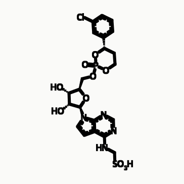 O=P1(OC[C@H]2O[C@@H](n3ccc4c(NCS(=O)(=O)O)ncnc43)[C@H](O)[C@@H]2O)OCC[C@@H](c2cccc(Cl)c2)O1